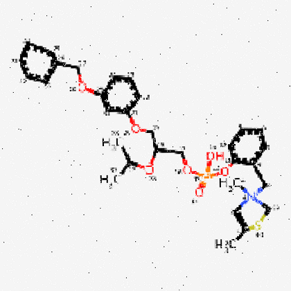 CC1=C[N+](C)(Cc2ccccc2OP(=O)(O)OCC(COc2cccc(OCc3ccccc3)c2)OC(C)C)CS1